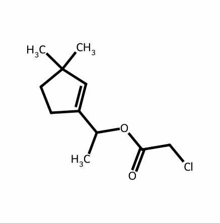 CC(OC(=O)CCl)C1=CC(C)(C)CC1